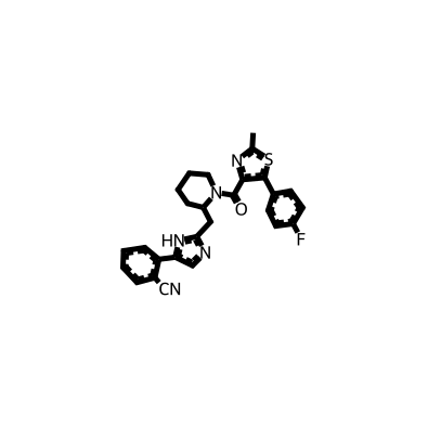 Cc1nc(C(=O)N2CCCCC2Cc2ncc(-c3ccccc3C#N)[nH]2)c(-c2ccc(F)cc2)s1